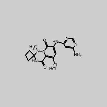 CN1n2c(c(Cl)cc(Nc3cc(N)ncn3)c2=O)C(=O)NC12CCC2.Cl